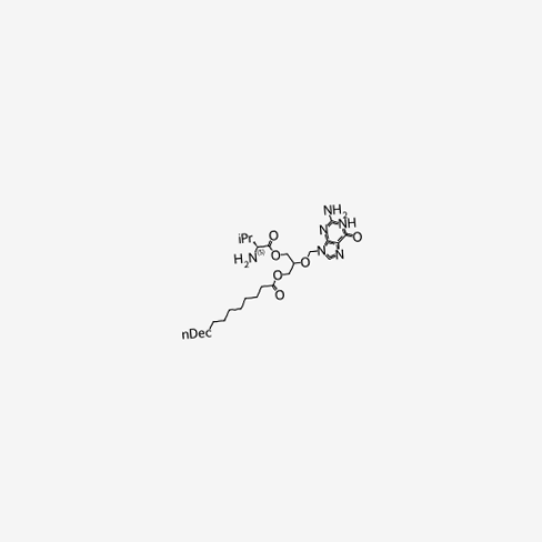 CCCCCCCCCCCCCCCCCC(=O)OCC(COC(=O)[C@@H](N)C(C)C)OCn1cnc2c(=O)[nH]c(N)nc21